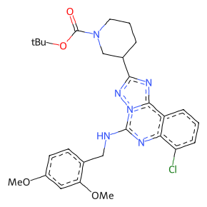 COc1ccc(CNc2nc3c(Cl)cccc3c3nc(C4CCCN(C(=O)OC(C)(C)C)C4)nn23)c(OC)c1